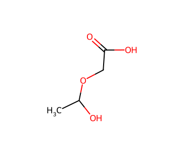 CC(O)OCC(=O)O